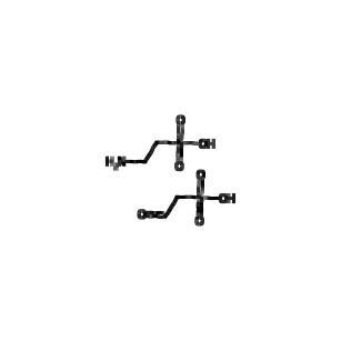 NCCS(=O)(=O)O.O=CCS(=O)(=O)O